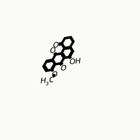 COc1cccc2c1C(=O)c1c(O)cc3c(c1C2=O)C(=O)CCC3